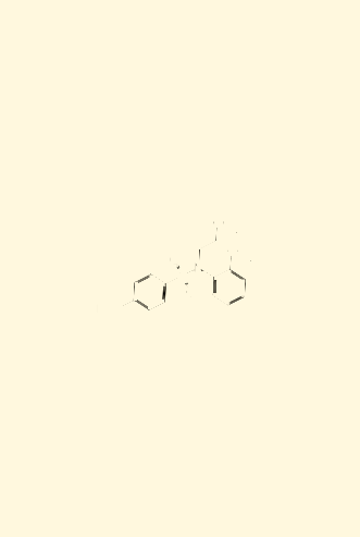 Cc1ccc(S(=O)(=O)N(CCC(=O)O)c2ccccc2C(=O)O)cc1